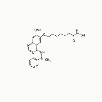 COc1cc2ncnc(N[C@H](C)c3ccccc3)c2cc1OCCCCCCC(=O)NO